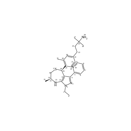 CCn1nc(-c2ccccn2)c2c1N[C@@H](C)CS[C@H]2c1ccc(CCC(C)(C)N)cc1C